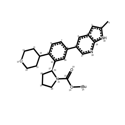 Cc1cc2cc(-c3ccc(C4CCOCC4)c([C@@H]4CCCN4C(=O)OC(C)(C)C)c3)cnc2[nH]1